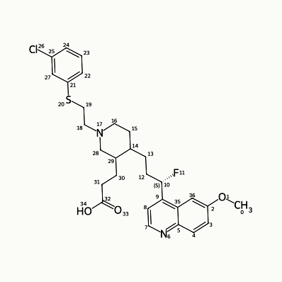 COc1ccc2nccc([C@@H](F)CCC3CCN(CCSc4cccc(Cl)c4)CC3CCC(=O)O)c2c1